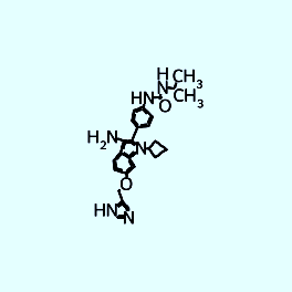 CC(C)NC(=O)Nc1ccc(-c2c(N)c3ccc(OCc4cnc[nH]4)cc3n2C2CCC2)cc1